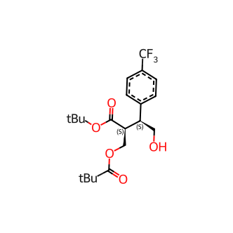 CC(C)(C)OC(=O)[C@H](COC(=O)C(C)(C)C)[C@H](CO)c1ccc(C(F)(F)F)cc1